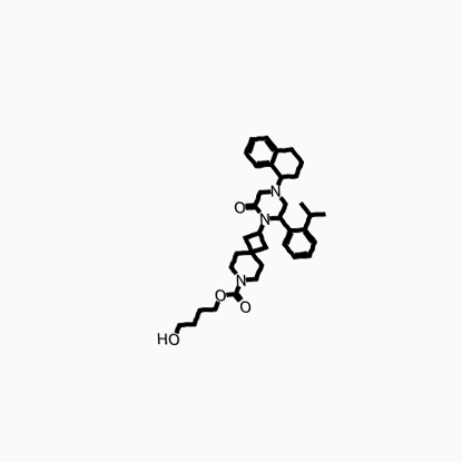 CC(C)c1ccccc1C1CN(C2CCCc3ccccc32)CC(=O)N1C1CC2(CCN(C(=O)OCCCCO)CC2)C1